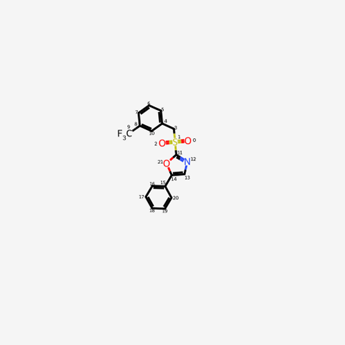 O=S(=O)(Cc1cccc(C(F)(F)F)c1)c1ncc(-c2ccccc2)o1